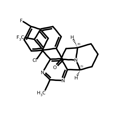 Cc1nc(-c2ccc(F)cc2)c2c(n1)[C@@H]1CCC[C@H](C2)N1C(=O)c1cccc(C(F)(F)F)c1Cl